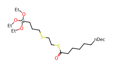 CCCCCCCCCCCCCCCC(=O)SCCSCCC[Si](OCC)(OCC)OCC